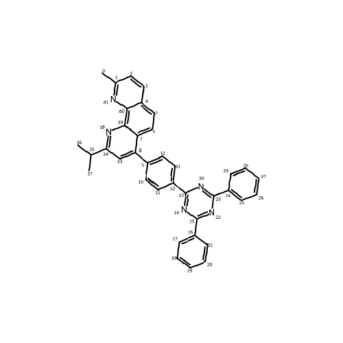 Cc1ccc2ccc3c(-c4ccc(-c5nc(-c6ccccc6)nc(-c6ccccc6)n5)cc4)cc(C(C)C)nc3c2n1